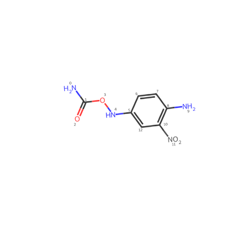 NC(=O)ONc1ccc(N)c([N+](=O)[O-])c1